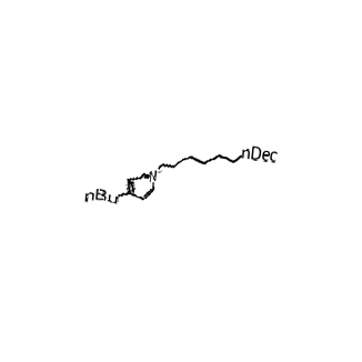 CCCCCCCCCCCCCCCC[n+]1ccc(CCCC)cc1